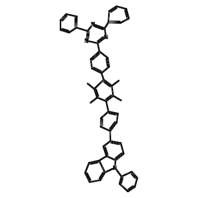 Cc1c(C)c(-c2ccc(-c3nc(-c4ccccc4)nc(-c4ccccc4)n3)cc2)c(C)c(C)c1-c1ccc(-c2ccc3c(c2)c2ccccc2n3-c2ccccc2)cc1